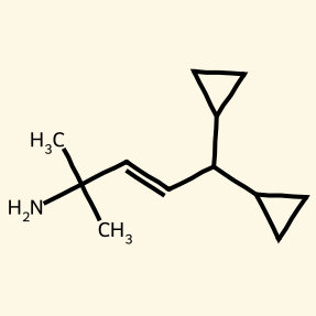 CC(C)(N)C=CC(C1CC1)C1CC1